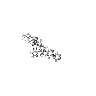 CC(C)(C)c1ccc(S(=O)(=O)N2CC3C(CN(C(=O)Oc4sccc4Cl)c4ccc(N5CCOCC5)nc4)C3C2)cc1